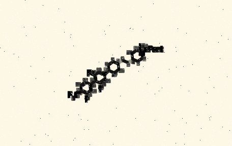 CCCCC[Si@H]1CC[C@H](CC[C@H]2CC[C@H](c3cc(F)c(-c4ccc(C(F)(F)F)c(F)c4)c(F)c3)CC2)CC1